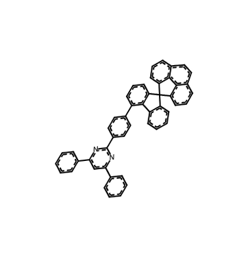 c1ccc(-c2cc(-c3ccccc3)nc(-c3ccc(-c4cccc5c4-c4ccccc4C54c5cccc6ccc7cccc4c7c56)cc3)n2)cc1